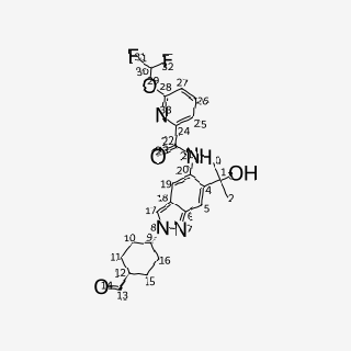 CC(C)(O)c1cc2nn([C@H]3CC[C@H](C=O)CC3)cc2cc1NC(=O)c1cccc(OC(F)F)n1